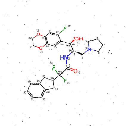 O=C(N[C@H](CN1CCCC1)[C@H](O)c1cc2c(cc1F)OCCO2)C(F)(F)C1Cc2ccccc2C1